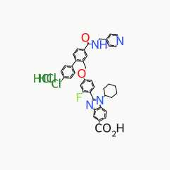 Cl.Cl.O=C(O)c1ccc2c(c1)nc(-c1ccc(OCc3cc(C(=O)NCc4ccncc4)ccc3-c3ccc(Cl)cc3)cc1F)n2C1CCCCC1